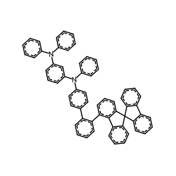 c1ccc(N(c2ccccc2)c2cccc(N(c3ccccc3)c3ccc(-c4ccccc4-c4cccc5c4-c4ccccc4C54c5ccccc5-c5ccccc54)cc3)c2)cc1